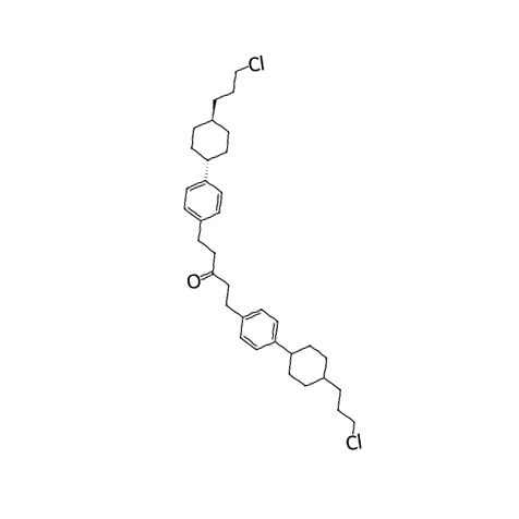 O=C(CCc1ccc(C2CCC(CCCCl)CC2)cc1)CCc1ccc([C@H]2CC[C@H](CCCCl)CC2)cc1